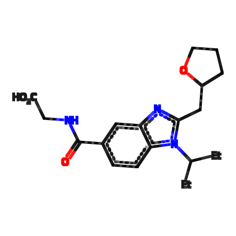 CCC(CC)n1c(CC2CCCO2)nc2cc(C(=O)NCC(=O)O)ccc21